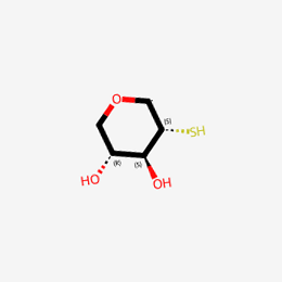 O[C@H]1[C@H](O)CO[CH][C@@H]1S